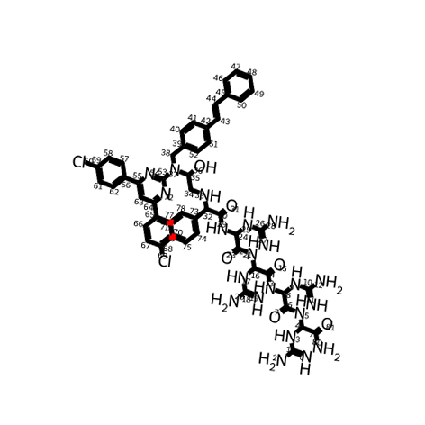 N=C(N)NC(NC(=O)C(NC(=N)N)NC(=O)C(NC(=N)N)NC(=O)C(NC(=N)N)NC(=O)C(NCC(O)N(Cc1ccc(/C=C/c2ccccc2)cc1)c1nc(-c2ccc(Cl)cc2)cc(-c2ccc(Cl)cc2)n1)c1ccccc1)C(N)=O